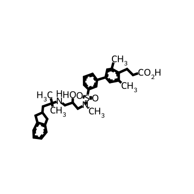 Cc1cc(-c2cccc(S(=O)(=O)N(C)CC(O)CNC(C)(C)CC3Cc4ccccc4C3)c2)cc(C)c1CCC(=O)O